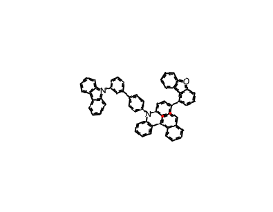 c1cc(-c2ccc(N(c3ccc(-c4cccc5oc6ccccc6c45)cc3)c3ccccc3-c3cccc4ccccc34)cc2)cc(-n2c3ccccc3c3ccccc32)c1